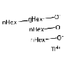 CCCCCC[O-].CCCCCC[O-].CCCCCC[O-].CCCCCC[O-].[Ti+4]